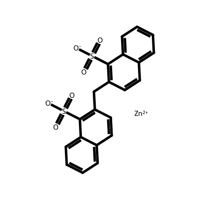 O=S(=O)([O-])c1c(Cc2ccc3ccccc3c2S(=O)(=O)[O-])ccc2ccccc12.[Zn+2]